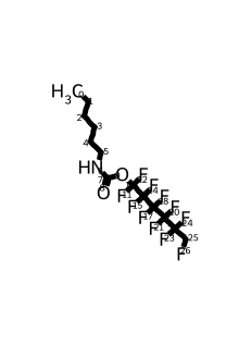 CCCCCCNC(=O)OC(F)(F)C(F)(F)C(F)(F)C(F)(F)C(F)(F)CF